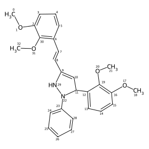 COc1cccc(C=CC2=CC(c3cccc(OC)c3OC)N(c3ccccc3)N2)c1OC